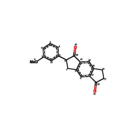 COc1cccc(C2Cc3cc4c(cc3C2=O)CCC4=O)c1